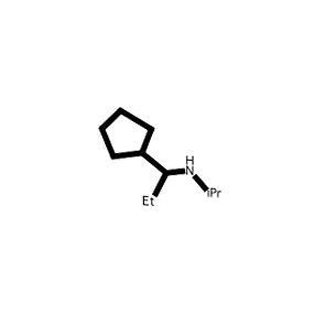 [CH2]CC(NC(C)C)C1CCCC1